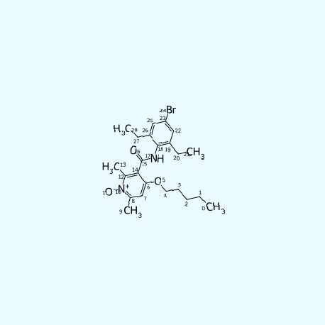 CCCCCOc1cc(C)[n+]([O-])c(C)c1C(=O)Nc1c(CC)cc(Br)cc1CC